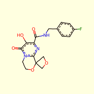 O=C(NCc1ccc(F)cc1)c1nc2n(c(=O)c1O)CCOC21COC1